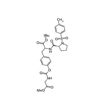 COC(=O)CNC(=O)Oc1ccc(CC(NC(=O)[C@@H]2CCCN2S(=O)(=O)c2ccc(C)cc2)C(=O)OC(C)(C)C)cc1